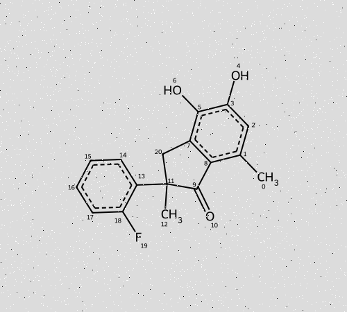 Cc1cc(O)c(O)c2c1C(=O)C(C)(c1ccccc1F)C2